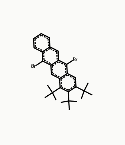 CC(C)(C)c1cc2c(Br)c3cc4ccccc4c(Br)c3cc2c(C(C)(C)C)c1C(C)(C)C